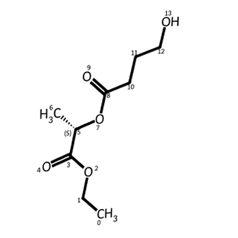 CCOC(=O)[C@H](C)OC(=O)CCCO